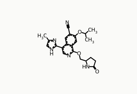 Cc1c[nH]c(-c2cnc(OCC3CCC(=O)N3)c3cc(OC(C)C)c(C#N)cc23)n1